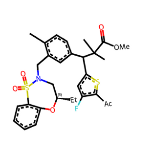 CC[C@@H]1CN(Cc2cc(C(c3cc(F)c(C(C)=O)s3)C(C)(C)C(=O)OC)ccc2C)S(=O)(=O)c2ccccc2O1